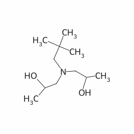 CC(O)CN(CC(C)O)CC(C)(C)C